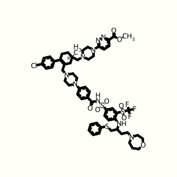 COC(=O)c1ccc(N2CCN(C[C@]3(C)CCC(c4ccc(Cl)cc4)=C(CN4CCN(c5ccc(C(=O)NS(=O)(=O)c6ccc(NC(CCN7CCCOCC7)CSc7ccccc7)c(S(=O)(=O)C(F)(F)F)c6)cc5)CC4)C3)CC2)nn1